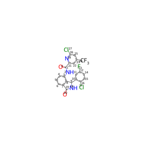 O=C(Nc1cccc2c1C(c1cc(F)ccc1Cl)NC2=O)c1cc(C(F)(F)F)cc(Cl)n1